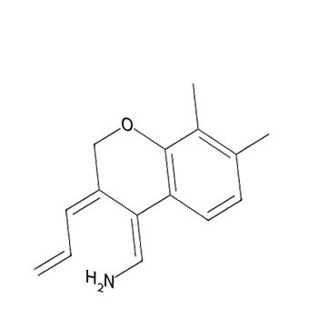 C=C/C=C1/COc2c(ccc(C)c2C)/C1=C/N